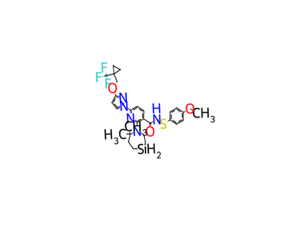 COc1ccc(SNC(=O)c2ccc(-n3ccc(OCC4(C(F)(F)F)CC4)n3)nc2N2CC[SiH2]CCC2(C)C)cc1